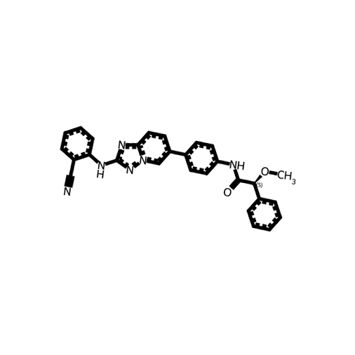 CO[C@H](C(=O)Nc1ccc(-c2ccc3nc(Nc4ccccc4C#N)nn3c2)cc1)c1ccccc1